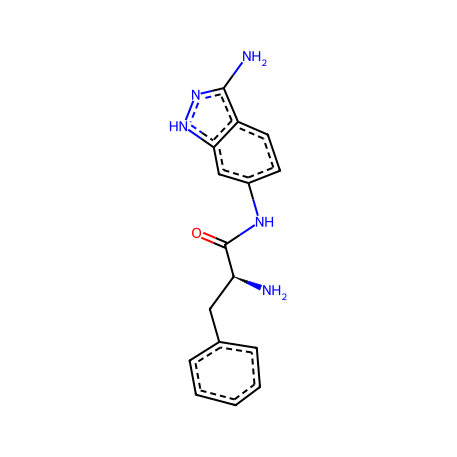 Nc1n[nH]c2cc(NC(=O)[C@@H](N)Cc3ccccc3)ccc12